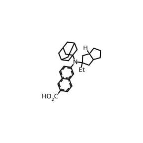 CCC1(N(c2ccc3cc(C(=O)O)ccc3c2)C23CC4CC(CC(C4)C2)C3)CC2CCC[C@H]2C1